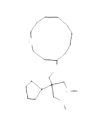 COCC(COC)(COC1CCCCCCCCCCC1)C1CCCC1